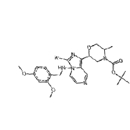 COc1ccc(CN[N+]23C=CN=CC2=C(C2CN(C(=O)OC(C)(C)C)C(C)CO2)N=C3Br)c(OC)c1